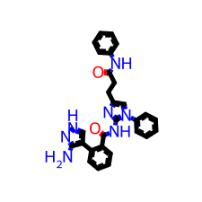 Nc1n[nH]cc1-c1ccccc1C(=O)Nc1nc(CCC(=O)Nc2ccccc2)cn1-c1ccccc1